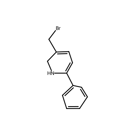 BrCC1=CC=C(c2ccccc2)NC1